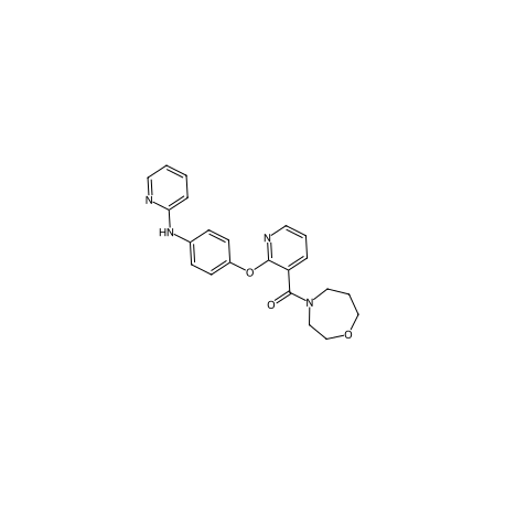 O=C(c1cccnc1Oc1ccc(Nc2ccccn2)cc1)N1CCCOCC1